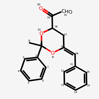 CC1(c2ccccc2)OC(=Cc2ccccc2)CC(C(=O)C=O)O1